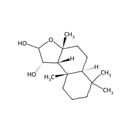 CC1(C)CCC[C@@]2(C)[C@H]1CC[C@@]1(C)OC(O)[C@@H](O)[C@@H]21